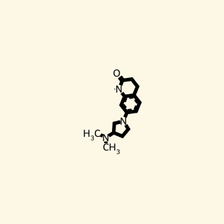 CN(C)C1CCN(c2ccc3c(c2)[N]C(=O)CC3)C1